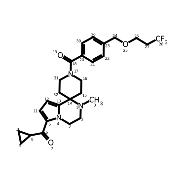 CN1CCn2c(C(=O)C3CC3)ccc2C12CCN(C(=O)c1ccc(COCCC(F)(F)F)cc1)CC2